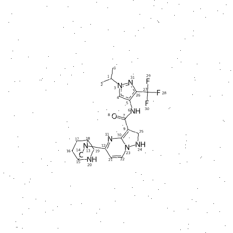 CC(C)n1cc(NC(=O)C2=C3N=C(N4CC5CCC4CN5)C=CN3NC2)c(C(F)(F)F)n1